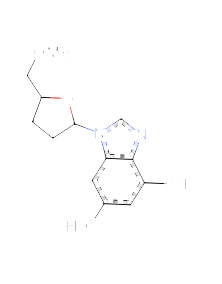 COCC1CCC(n2cnc3c(C)cc(C)cc32)O1